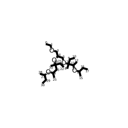 CCOCC(COC(C)(CC)C(C)OC(C)CC)OC(C)(CC)CC(C)OC(C)CC